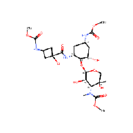 CN(C(=O)OC(C)(C)C)[C@@H]1[C@@H](O)[C@@H](O[C@@H]2[C@@H](O)C[C@@H](NC(=O)OC(C)(C)C)C[C@H]2NC(=O)C2(O)CC(NC(=O)OC(C)(C)C)C2)OC[C@]1(C)O